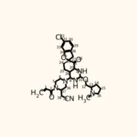 C=CC(=O)N1CCN(C2NC(OCC3CCCN3C)NC3C(=O)[C@@]4(CCC32)Cc2ccc(Cl)cc2O4)CC1CC#N